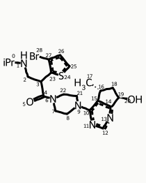 CC(C)NCC(C(=O)N1CCN(c2ncnc3c2[C@H](C)C[C@H]3O)CC1)c1sccc1Br